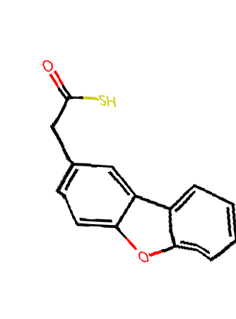 O=C(S)Cc1ccc2oc3ccccc3c2c1